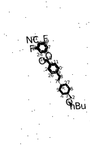 CCCCOC[C@H]1CC[C@H](CCc2ccc(C(=O)Oc3cc(F)c(C#N)c(F)c3)cc2)CC1